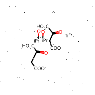 CC(C)[O-].CC(C)[O-].O=C([O-])CC(=O)C(=O)O.O=C([O-])CC(=O)C(=O)O.[Ti+4]